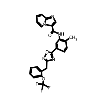 Cc1ccc(-c2nc(Cc3ccccc3OC(F)(F)F)no2)cc1NC(=O)c1cnc2ccccn12